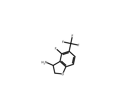 NC1COc2ccc(C(F)(F)F)c(F)c21